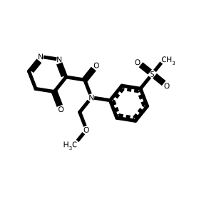 COCN(C(=O)C1=NN=CCC1=O)c1cccc(S(C)(=O)=O)c1